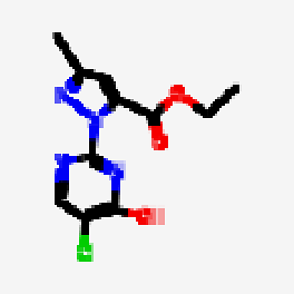 CCOC(=O)c1cc(C)nn1-c1ncc(Cl)c(O)n1